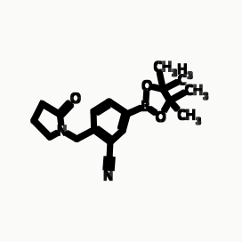 CC1(C)OB(c2ccc(CN3CCCC3=O)c(C#N)c2)OC1(C)C